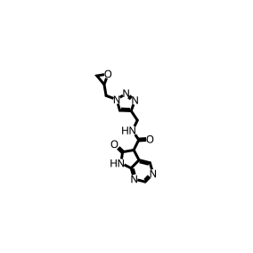 O=C(NCc1cn(CC2CO2)nn1)C1C(=O)Nc2ncncc21